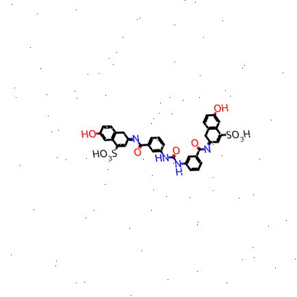 O=C(Nc1cccc(C(=O)N=C2C=C(S(=O)(=O)O)c3cc(O)ccc3C2)c1)Nc1cccc(C(=O)N=C2C=C(S(=O)(=O)O)c3cc(O)ccc3C2)c1